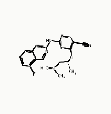 C[C@H](CN(C)C)Oc1nc(Nc2cc3cccc(F)c3cn2)cnc1C#N